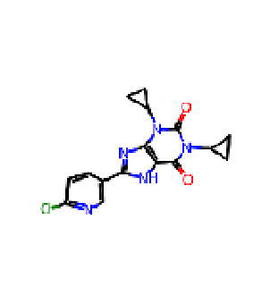 O=c1c2[nH]c(-c3ccc(Cl)nc3)nc2n(C2CC2)c(=O)n1C1CC1